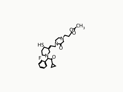 CC1OC(CCN2CCN(C/C=C3\CN(C(C(=O)C4CC4)c4ccccc4F)CCC3S)C(=O)C2)O1